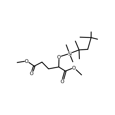 COC(=O)CCC(O[Si](C)(C)C(C)(C)CC(C)(C)C)C(=O)OC